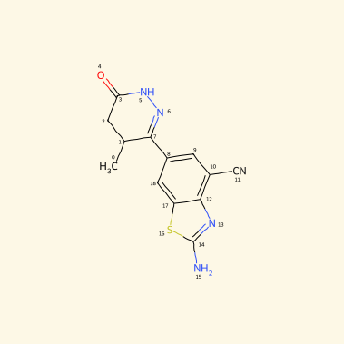 CC1CC(=O)NN=C1c1cc(C#N)c2nc(N)sc2c1